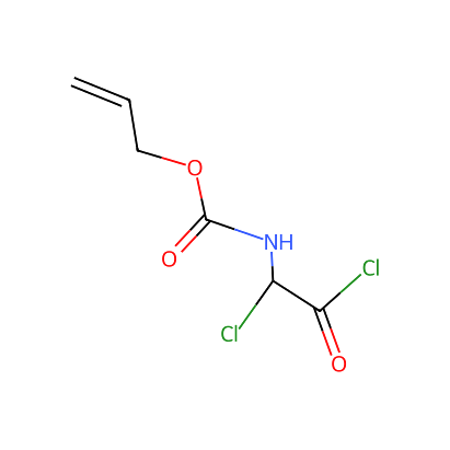 C=CCOC(=O)NC(Cl)C(=O)Cl